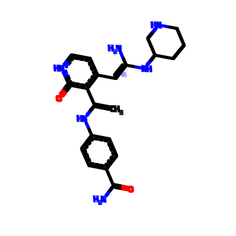 C=C(Nc1ccc(C(N)=O)cc1)c1c(/C=C(\N)NC2CCCNC2)cc[nH]c1=O